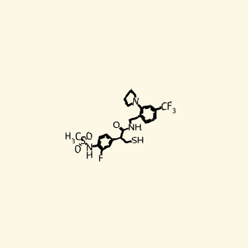 CS(=O)(=O)Nc1ccc(C(CS)C(=O)NCc2ccc(C(F)(F)F)cc2N2CCCC2)cc1F